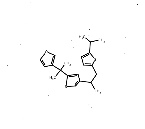 CC(C)c1ccc(CC(C)c2csc(C(C)(C)c3ccoc3)c2)s1